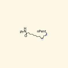 CCCCC/C=C\C/C=C\CCCCCCCC(=O)NC(C)C